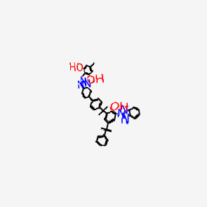 Cc1cc(O)c(Cn2nc3ccc(-c4ccc(C(C)(C)c5cc(C(C)(C)c6ccccc6)cc(-n6nc7ccccc7n6)c5O)cc4)cc3n2)c(O)c1